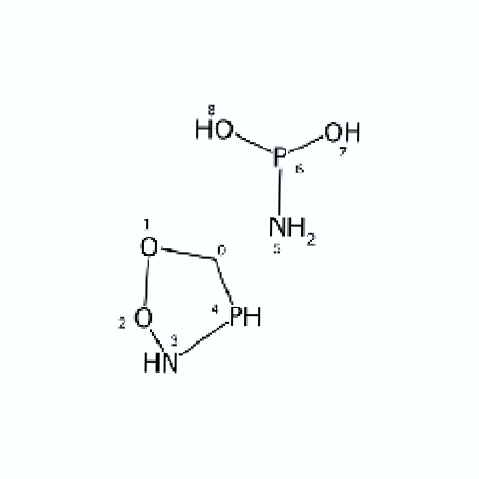 C1OONP1.NP(O)O